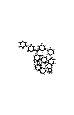 CC1(C)c2ccccc2C2(c3ccccc3-c3ccc(-c4cccc(-c5cccc(N(c6ccc(-c7ccccc7)cc6)c6ccc(-c7ccccc7)cc6)c5)c4)cc32)c2ccccc21